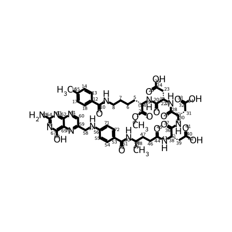 COC(=O)[C@H](CCCCNC(=O)c1ccc(C)cc1)NC(=O)[C@H](CC(=O)O)NC(=O)[C@H](CC(=O)O)NC(=O)[C@H](CC(=O)O)NC(=O)CC[C@@H](C)NC(=O)c1ccc(NCc2cnc3nc(N)nc(O)c3n2)cc1